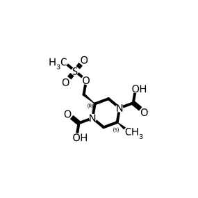 C[C@H]1CN(C(=O)O)[C@@H](COS(C)(=O)=O)CN1C(=O)O